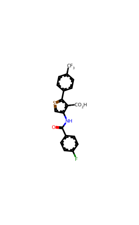 O=C(Nc1csc(-c2ccc(C(F)(F)F)cc2)c1C(=O)O)c1ccc(F)cc1